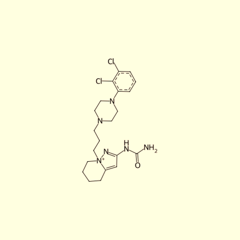 NC(=O)NC1=N[N+]2(CCCN3CCN(c4cccc(Cl)c4Cl)CC3)CCCCC2=C1